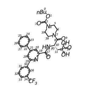 CCCCOC(=O)N1CCN(C(=O)[C@H](CP(=O)(O)O)NC(=O)c2cc(-c3ccccc3)cc(-c3cccc(C(F)(F)F)c3)n2)CC1